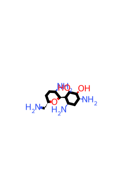 NC[C@@H]1CC[C@@H](N)[C@@H](C2[C@@H](N)C[C@@H](N)[C@H](O)[C@H]2O)O1